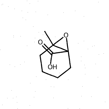 CC12CCCCC1(C(=O)O)O2